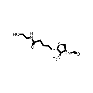 NC1C(NC=O)CS[C@H]1CCCCC(=O)NCCO